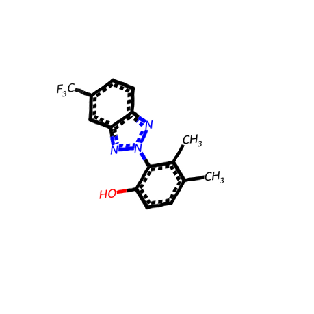 Cc1ccc(O)c(-n2nc3ccc(C(F)(F)F)cc3n2)c1C